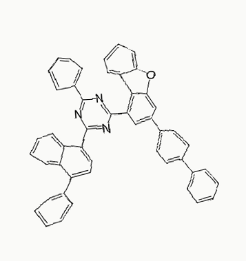 c1ccc(-c2ccc(-c3cc(-c4nc(-c5ccccc5)nc(-c5ccc(-c6ccccc6)c6ccccc56)n4)c4c(c3)oc3ccccc34)cc2)cc1